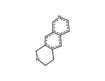 c1cc2cc3c(cc2cn1)C[N]CC3